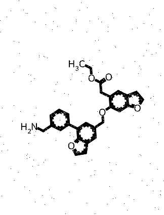 CCOC(=O)Cc1cc2ccoc2cc1OCc1cc(-c2cccc(CN)c2)c2occc2c1